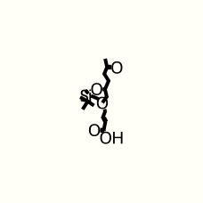 CC(=O)CCC(COCC=CC(=O)O)O[Si](C)(C)C(C)(C)C